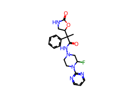 CC(C(=O)NN1CCN(c2ncccn2)C(F)C1)(c1ccccc1)C1CNC(=O)O1